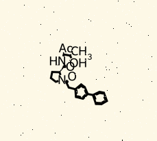 CC(=O)[C@@H](NC(=O)[C@@H]1CCCN1C(=O)Cc1ccc(-c2ccccc2)cc1)[C@@H](C)O